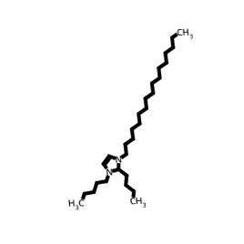 CCCCCCCCCCCCCCCCCN1C=CN(CCCCC)C1CCCC